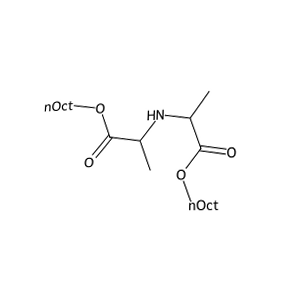 CCCCCCCCOC(=O)C(C)NC(C)C(=O)OCCCCCCCC